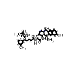 C=C(/C=C\C=C(/C)c1ccc2cc(O)ccc2c1)[C@H](CC(=O)OC)NC(=O)CNC(=O)CCCN(C(=O)OC(C)(C)C)c1cc(C)ccn1